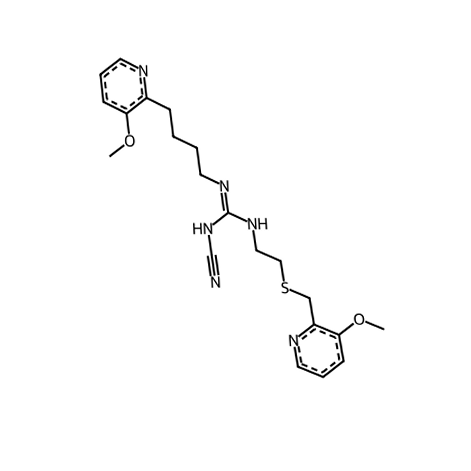 COc1cccnc1CCCC/N=C(\NC#N)NCCSCc1ncccc1OC